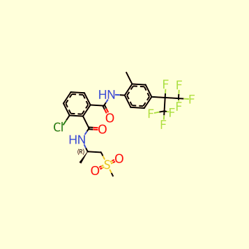 Cc1cc(C(F)(C(F)(F)F)C(F)(F)F)ccc1NC(=O)c1cccc(Cl)c1C(=O)N[C@H](C)CS(C)(=O)=O